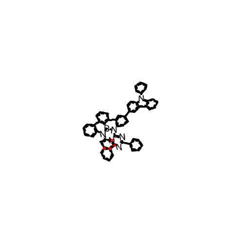 c1ccc(-c2nc(-c3ccccc3)nc(N3B4c5c(cccc5-c5cc(-c6ccc7c(c6)c6ccccc6n7-c6ccccc6)ccc53)-c3ccccc3N4c3ccccc3)n2)cc1